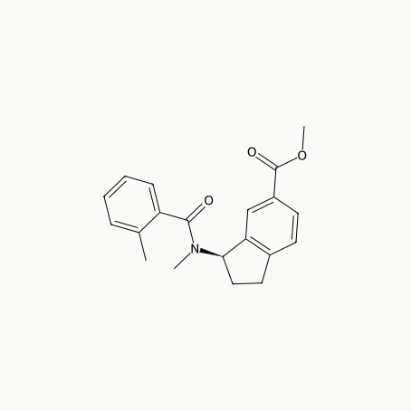 COC(=O)c1ccc2c(c1)[C@H](N(C)C(=O)c1ccccc1C)CC2